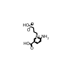 Nc1ccc(C(=O)O)c[n+]1CCCS(=O)(=O)O